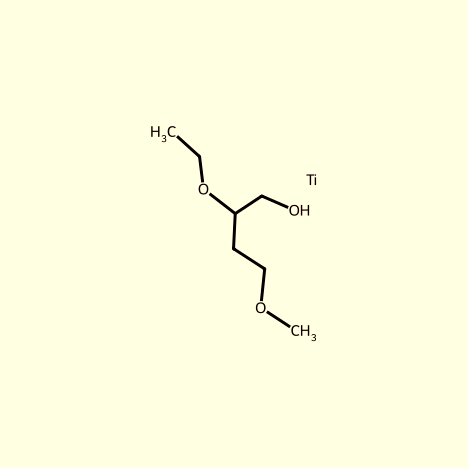 CCOC(CO)CCOC.[Ti]